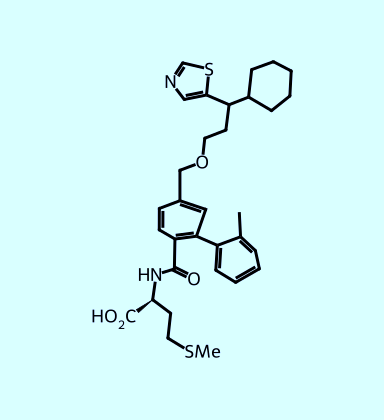 CSCC[C@H](NC(=O)c1ccc(COCCC(c2cncs2)C2CCCCC2)cc1-c1ccccc1C)C(=O)O